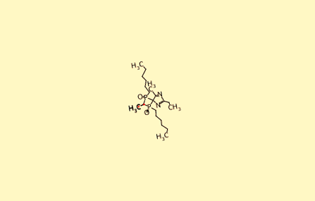 CCCCCCP(=O)(CC)C1(P(=O)(CC)CCCCCC)N=C(CC)N=C1C